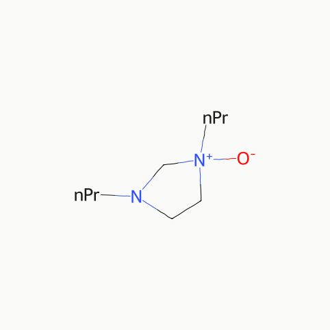 CCCN1CC[N+]([O-])(CCC)C1